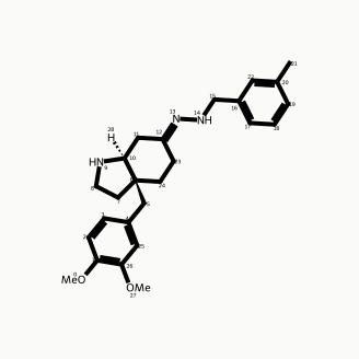 COc1ccc(C[C@@]23CCN[C@H]2CC(=NNCc2cccc(C)c2)CC3)cc1OC